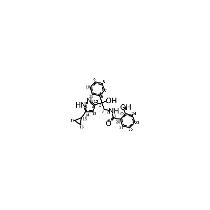 O=C(NCC(O)(c1ccccc1)c1cc(C2CC2)[nH]n1)c1ccccc1O